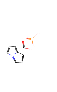 C1=CC2=CC=C[N+]2=C1.O=C[O-].O=[PH](O)O